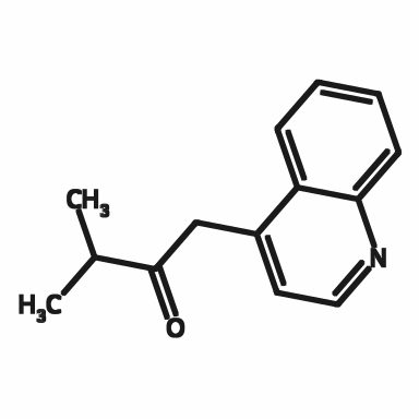 CC(C)C(=O)Cc1ccnc2ccccc12